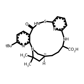 CC(C)(C)c1ccc2c(n1)N1C[C@@H](CCC(C(=O)O)Nc3cccc(n3)SNC2=O)CC1(C)C